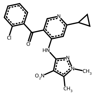 Cc1c([N+](=O)[O-])c(Nc2cc(C3CC3)ncc2C(=O)c2ccccc2Cl)nn1C